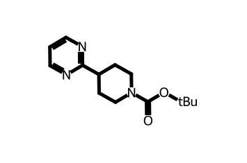 CC(C)(C)OC(=O)N1CCC(c2ncccn2)CC1